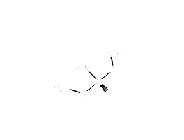 CSP(N)(=O)SC